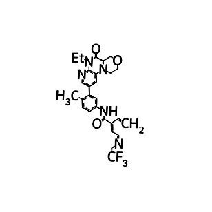 C=C/C(=C\C=N/CC(F)(F)F)C(=O)Nc1ccc(C)c(-c2cnc3c(c2)N2CCOCC2C(=O)N3CC)c1